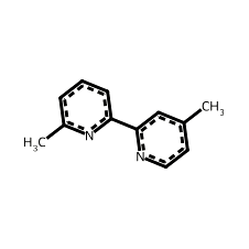 Cc1ccnc(-c2cccc(C)n2)c1